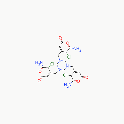 NC(=O)C(Cl)C(=CC=O)CN1CN(CC(=CC=O)C(Cl)C(N)=O)CN(CC(=CC=O)C(Cl)C(N)=O)C1